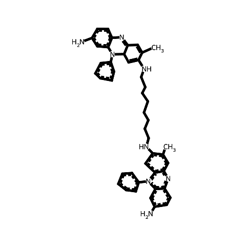 CC1=CC2=Nc3ccc(N)cc3N(c3ccccc3)C2C=C1NCCCCCCCCNc1cc2c(cc1C)nc1ccc(N)cc1[n+]2-c1ccccc1